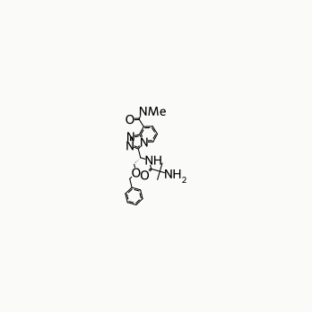 CNC(=O)c1cccn2c([C@@H](COCc3ccccc3)NC(=O)C(C)(C)N)nnc12